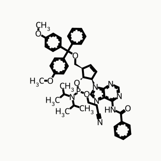 COc1ccc(C(OC[C@H]2C=C[C@@H](n3cnc4c(NC(=O)c5ccccc5)ncnc43)[C@@H]2OP(OCCC#N)N(C(C)C)C(C)C)(c2ccccc2)c2ccc(OC)cc2)cc1